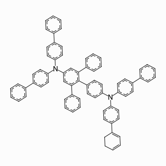 C1=CCCC(c2ccc(N(c3ccc(-c4ccccc4)cc3)c3ccc(-c4c(-c5ccccc5)cc(N(c5ccc(-c6ccccc6)cc5)c5ccc(-c6ccccc6)cc5)cc4-c4ccccc4)cc3)cc2)=C1